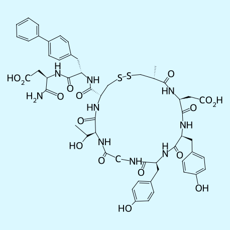 CC(O)[C@@H]1NC(=O)CNC(=O)[C@H](Cc2ccc(O)cc2)NC(=O)[C@H](Cc2ccc(O)cc2)NC(=O)[C@H](CC(=O)O)NC(=O)[C@@H](C)CSSC[C@@H](C(=O)N[C@@H](Cc2ccc(-c3ccccc3)cc2)C(=O)N[C@H](CC(=O)O)C(N)=O)NC1=O